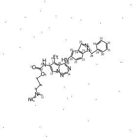 CCc1c(NC(=O)OCCCN(C)C#N)cn2ncnc(Nc3ccc4c(cnn4Cc4ccccc4)c3)c12